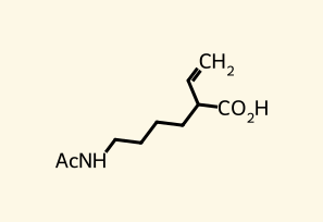 C=CC(CCCCNC(C)=O)C(=O)O